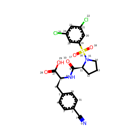 N#Cc1ccc(C[C@H](NC(=O)[C@@H]2CCCN2S(=O)(=O)c2cc(Cl)cc(Cl)c2)C(=O)O)cc1